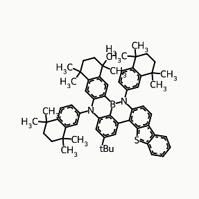 CC(C)(C)c1cc2c3c(c1)N(c1ccc4c(c1)C(C)(C)CCC4(C)C)c1cc4c(cc1B3N(c1ccc3c(c1)C(C)(C)CCC3(C)C)c1ccc3c(sc5ccccc53)c1-2)C(C)(C)CCC4(C)C